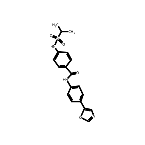 CC(C)S(=O)(=O)Nc1ccc(C(=O)Nc2ccc(-c3cnco3)cc2)cc1